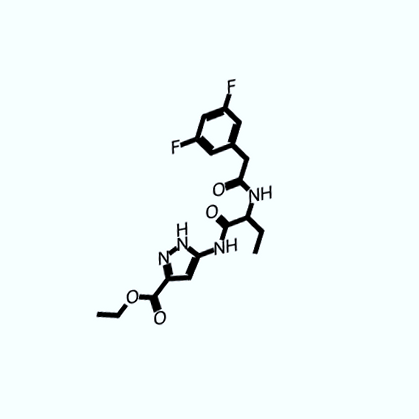 CCOC(=O)c1cc(NC(=O)C(CC)NC(=O)Cc2cc(F)cc(F)c2)[nH]n1